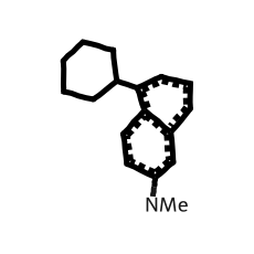 CNc1ccc2c(C3CCCCC3)cccc2c1